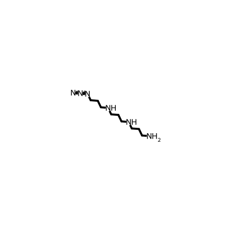 [N-]=[N+]=NCCCNCCCNCCCN